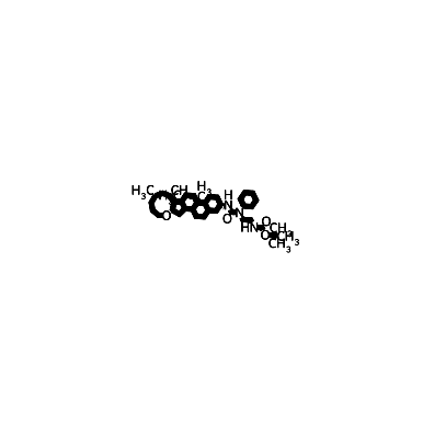 CC1CCCOC2CC3C4CCC5C[C@H](NC(=O)N(CCNC(=O)OC(C)(C)C)C6CCCCC6)CCC5(C)C4CCC3(C)C2[C@H](C)C1